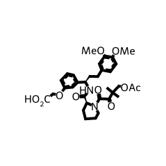 COc1ccc(CC[C@@H](NC(=O)[C@@H]2CCCCN2C(=O)C(=O)C(C)(C)COC(C)=O)c2cccc(OCC(=O)O)c2)cc1OC